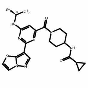 CC(C)[C@@H](C)Nc1cc(C(=O)N2CCC(NC(=O)C3CC3)CC2)nc(-c2cnn3ccsc23)n1